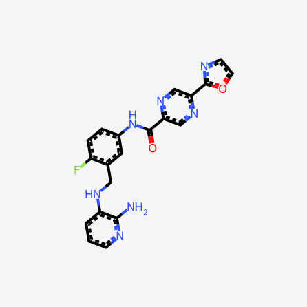 Nc1ncccc1NCc1cc(NC(=O)c2cnc(-c3ncco3)cn2)ccc1F